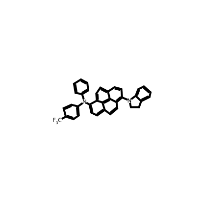 FC(F)(F)c1ccc(N(c2ccccc2)c2ccc3ccc4c(N5CCc6ccccc65)ccc5ccc2c3c54)cc1